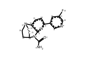 NC(=O)N1c2nc(-c3cncc(F)c3)ccc2N2CCC1CC2